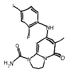 Cc1c(Nc2ccc(I)cc2F)[c]c2n(c1=O)CCN2C(N)=O